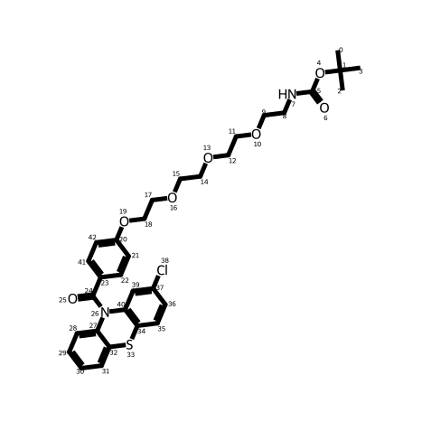 CC(C)(C)OC(=O)NCCOCCOCCOCCOc1ccc(C(=O)N2c3ccccc3Sc3ccc(Cl)cc32)cc1